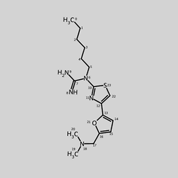 CCCCCCN(C(=N)N)c1nc(-c2ccc(CN(C)C)o2)cs1